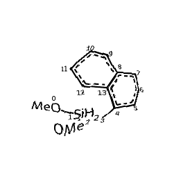 CO[SiH2]OC.Cc1cccc2ccccc12